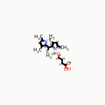 CC1=CC(C)=N/C1=C(/C)c1c(C)cc(C)n1B(F)OCCCC(=O)O